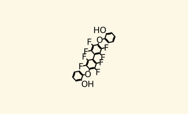 Oc1ccccc1Oc1c(F)c(F)c(-c2c(F)c(F)c(Oc3ccccc3O)c(F)c2F)c(F)c1F